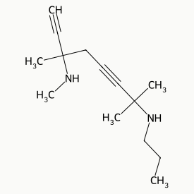 C#CC(C)(CC#CC(C)(C)NCCC)NC